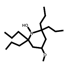 CCCC1(CCC)CC(OC)CC(CCC)(CCC)N1O